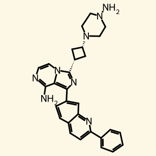 Nc1nccn2c1c(-c1ccc3ccc(-c4ccccc4)nc3c1)nc2[C@H]1C[C@@H](N2CCN(N)CC2)C1